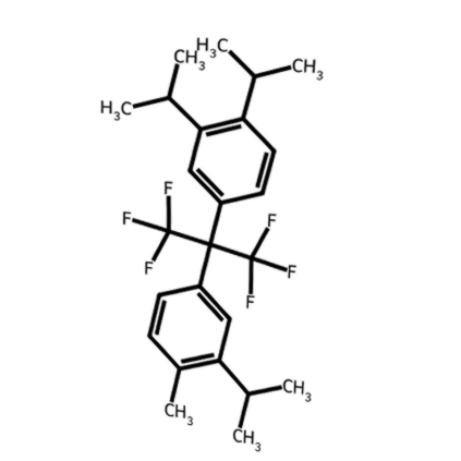 Cc1ccc(C(c2ccc(C(C)C)c(C(C)C)c2)(C(F)(F)F)C(F)(F)F)cc1C(C)C